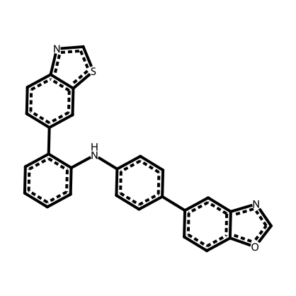 c1ccc(-c2ccc3ncsc3c2)c(Nc2ccc(-c3ccc4ocnc4c3)cc2)c1